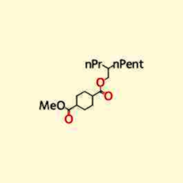 CCCCCC(CCC)COC(=O)C1CCC(C(=O)OC)CC1